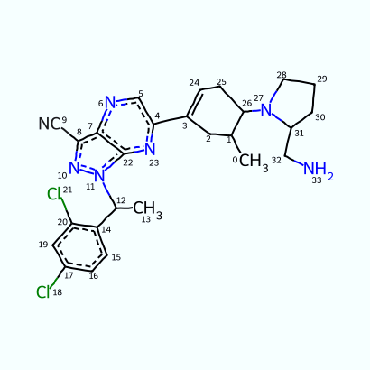 CC1CC(c2cnc3c(C#N)nn(C(C)c4ccc(Cl)cc4Cl)c3n2)=CCC1N1CCCC1CN